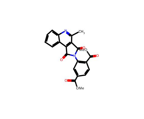 COC(=O)c1ccc(C(=O)OC)c(N2C(=O)c3c(C)nc4ccccc4c3C2=O)c1